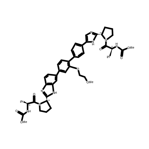 COCCOc1cc(-c2ccc3nc([C@@H]4CCCN4C(=O)[C@@H](NC(=O)OC)C(C)C)[nH]c3c2)ccc1-c1ccc(-c2cnc([C@@H]3CCCN3C(=O)[C@@H](NC(=O)OC)C(C)C)[nH]2)cc1